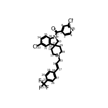 O=C(c1ccnc(Cl)c1)N1CC2(CCN(CC=Cc3ccc(C(F)(F)F)cc3)CC2)c2cc(Cl)ccc21